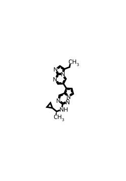 CCc1cnc2ncc(-c3ccn4nc(N[C@@H](C)C5CC5)ncc34)cn12